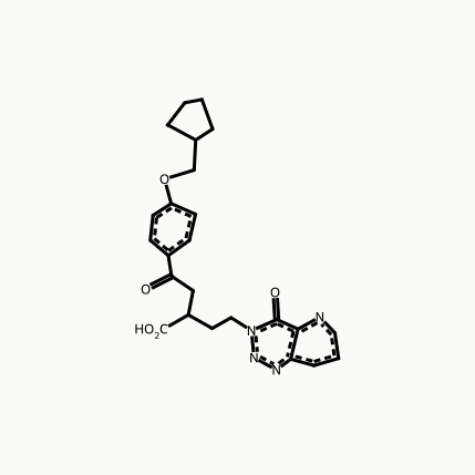 O=C(CC(CCn1nnc2cccnc2c1=O)C(=O)O)c1ccc(OCC2CCCC2)cc1